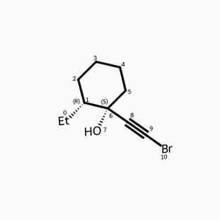 CC[C@@H]1CCCC[C@@]1(O)C#CBr